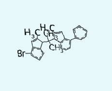 CC1=Cc2c(Br)cccc2C1C(C)(C)C1C(C)=Cc2c(-c3ccccc3)cccc21